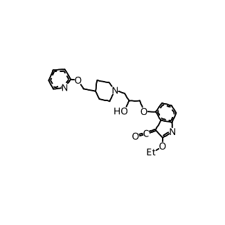 CCOC1=Nc2cccc(OCC(O)CN3CCC(COc4ccccn4)CC3)c2C1=C=O